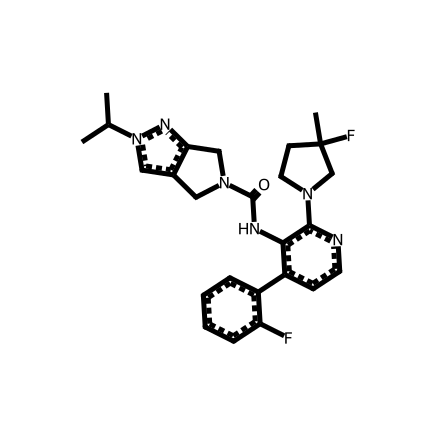 CC(C)n1cc2c(n1)CN(C(=O)Nc1c(-c3ccccc3F)ccnc1N1CCC(C)(F)C1)C2